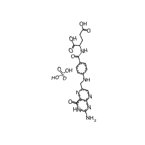 Nc1nc2ncc(CNc3ccc(C(=O)NC(CCC(=O)O)C(=O)O)cc3)nc2c(=O)[nH]1.O=S(=O)(O)O